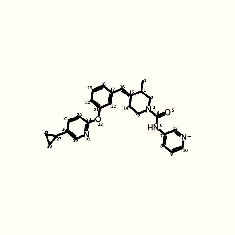 CC1CN(C(=O)Nc2cccnc2)CC/C1=C\c1cccc(Oc2ccc(C3CC3)cn2)c1